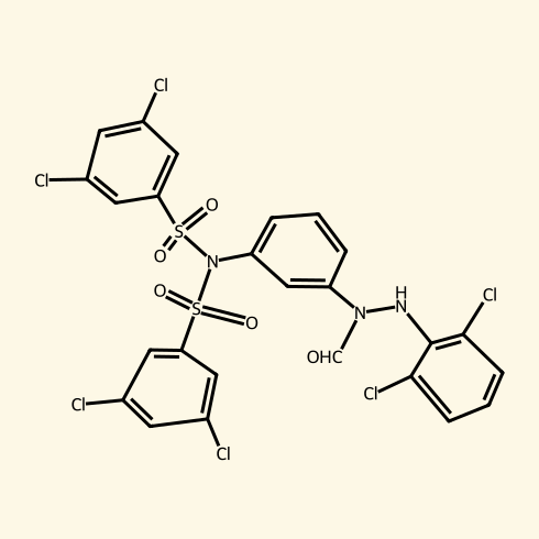 O=CN(Nc1c(Cl)cccc1Cl)c1cccc(N(S(=O)(=O)c2cc(Cl)cc(Cl)c2)S(=O)(=O)c2cc(Cl)cc(Cl)c2)c1